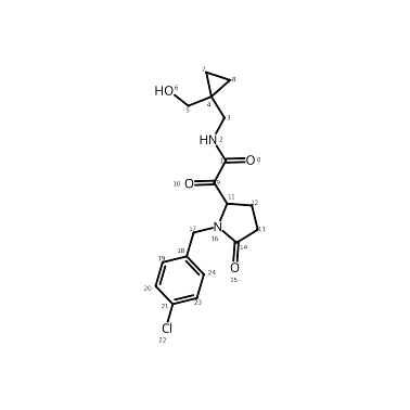 O=C(NCC1(CO)CC1)C(=O)C1CCC(=O)N1Cc1ccc(Cl)cc1